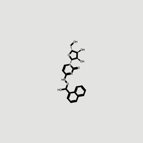 O=c1nc(NOC(O)c2cccc3ccccc23)ccn1[C@@H]1O[C@H](CO)[C@@H](O)[C@H]1O